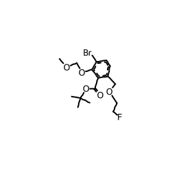 COCOc1c(Br)ccc(COCCF)c1C(=O)OC(C)(C)C